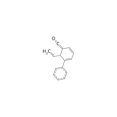 C=CC1C(=C=O)C=CC=C1c1ccccc1